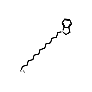 CCCCCCCCCCCCCCN1CCc2ccccc21